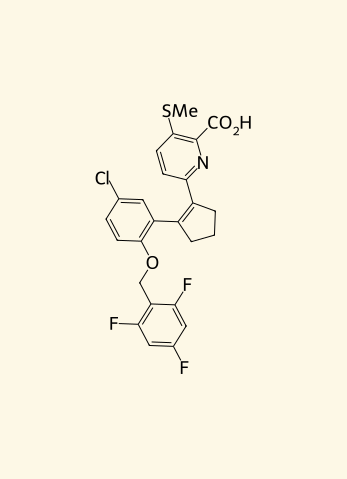 CSc1ccc(C2=C(c3cc(Cl)ccc3OCc3c(F)cc(F)cc3F)CCC2)nc1C(=O)O